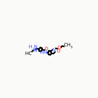 C#CCN=C(N)c1ccc(C(=O)Nc2ccc3c(c2)CN(CC(=O)OCCCC)CC3)cc1